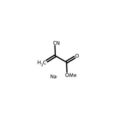 C=C(C#N)C(=O)OC.[Na]